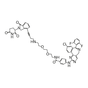 O=C1CCC(N2Cc3c(C#CCCNCCOCCOCCNC(=O)c4ccc(Nc5ncc6c(n5)-c5ccc(Cl)cc5C(c5c(F)cccc5F)=NC6)cc4)cccc3C2=O)C(=O)N1